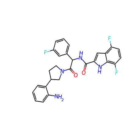 Nc1ccccc1C1CCN(C(=O)C(NC(=O)c2cc3c(F)ccc(F)c3[nH]2)c2cccc(F)c2)C1